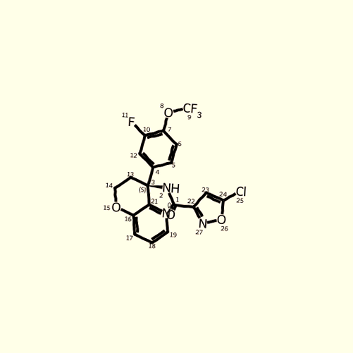 O=C(N[C@]1(c2ccc(OC(F)(F)F)c(F)c2)CCOc2cccnc21)c1cc(Cl)on1